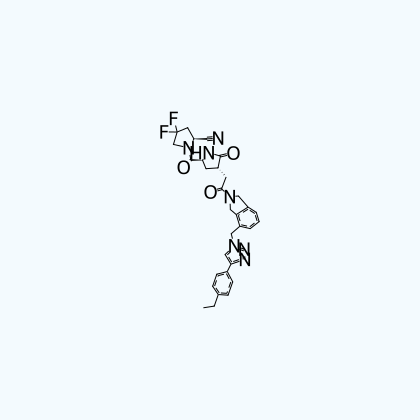 CCc1ccc(-c2cn(Cc3cccc4c3CN(C(=O)C[C@@H]3C[C@@H](C(=O)N5CC(F)(F)C[C@H]5C#N)NC3=O)C4)nn2)cc1